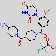 COc1ccc(C(=O)N2CCC(C(=O)N3CCC(N)CC3)CC2)cc1N1CCC(=O)NC1=O.O=C(O)C(F)(F)F